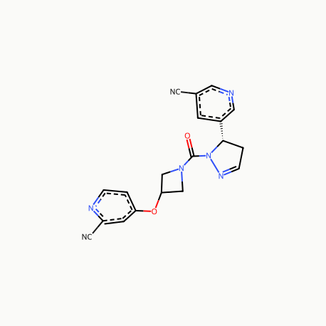 N#Cc1cncc([C@@H]2CC=NN2C(=O)N2CC(Oc3ccnc(C#N)c3)C2)c1